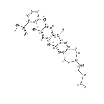 CNC(=O)c1ccccc1Nc1nc(Nc2cc3c(cc2OC)CCC(NCCOC)CC3)ncc1Cl